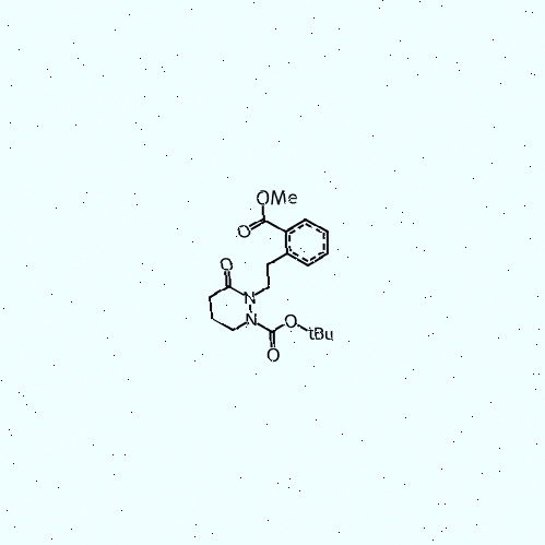 COC(=O)c1ccccc1CCN1C(=O)CCCN1C(=O)OC(C)(C)C